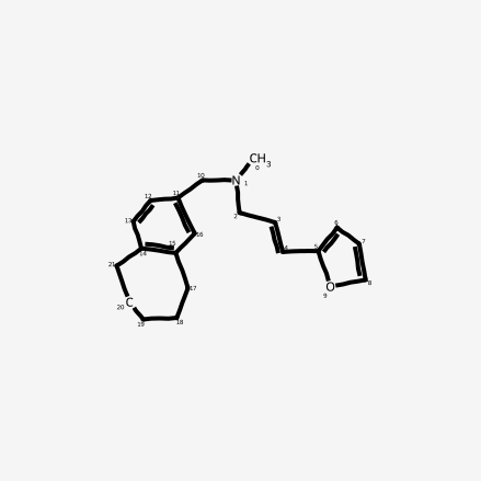 CN(C/C=C/c1ccco1)Cc1ccc2c(c1)CCCCC2